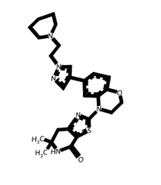 CC1(C)Cc2nc(N3CCOc4ccc(-c5cnn(CCN6CCCCC6)c5)cc43)sc2C(=O)N1